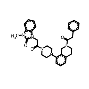 Cn1c(=O)n(CC(=O)N2CCN(c3cccc4c3CN(C(=O)Cc3ccccc3)CC4)CC2)c2ccccc21